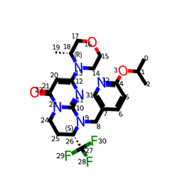 CC(C)Oc1ccc(CN2c3nc(N4CCOC[C@H]4C)cc(=O)n3CC[C@H]2C(F)(F)F)cn1